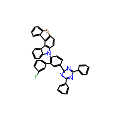 Fc1cccc(-c2cc(-c3nc(-c4ccccc4)nc(-c4ccccc4)n3)ccc2-n2c3ccccc3c3c4c(ccc32)sc2ccccc24)c1